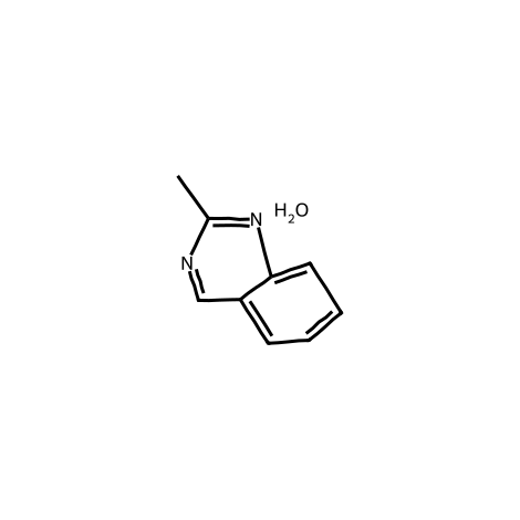 Cc1ncc2ccccc2n1.O